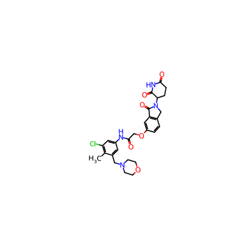 Cc1c(Cl)cc(NC(=O)COc2ccc3c(c2)C(=O)N(C2CCC(=O)NC2=O)C3)cc1CN1CCOCC1